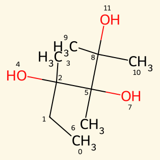 CCC(C)(O)C(C)(O)C(C)(C)O